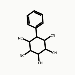 N#CC1C(C#N)C(C#N)C(c2ccccc2)C(C#N)C1C#N